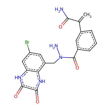 C=C(C(N)=O)c1cccc(C(=O)N(N)Cc2cc(Br)cc3[nH]c(=O)c(=O)[nH]c23)c1